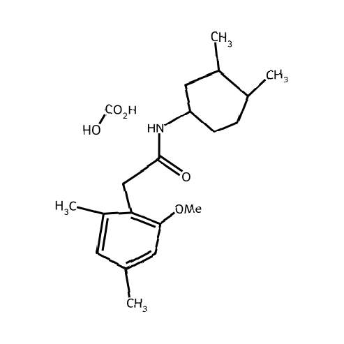 COc1cc(C)cc(C)c1CC(=O)NC1CCC(C)C(C)C1.O=C(O)O